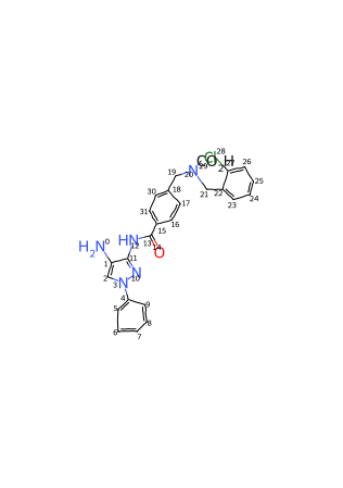 Nc1cn(-c2ccccc2)nc1NC(=O)c1ccc(CN(Cc2ccccc2Cl)C(=O)O)cc1